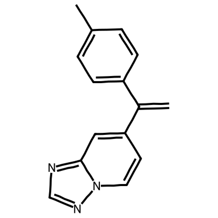 C=C(c1ccc(C)cc1)c1ccn2ncnc2c1